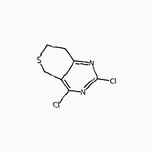 Clc1nc(Cl)c2c(n1)CCSC2